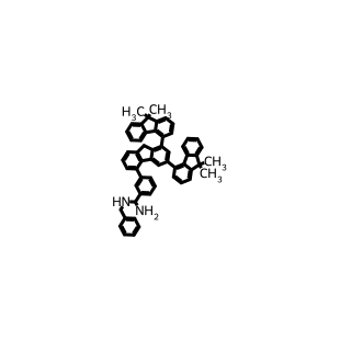 CC1(C)c2ccccc2-c2c(-c3cc(-c4cccc5c4-c4ccccc4C5(C)C)c4c(c3)-c3c(cccc3-c3cccc(C(N)NCc5ccccc5)c3)C4)cccc21